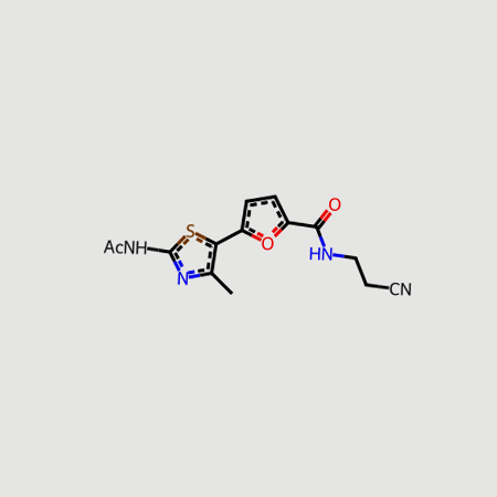 CC(=O)Nc1nc(C)c(-c2ccc(C(=O)NCCC#N)o2)s1